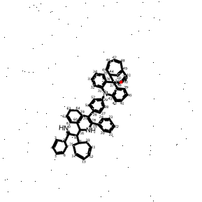 N=C(C1C=CC=CC1)C(C1CC=CC=CC1)C1NC(c2ccccc2)=C(c2ccc(N3c4ccccc4C4(c5ccccc53)C3C=CC=CC(=C3)C3C=CC=CC34)cc2)C2=C1C=CCC2